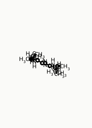 C[C@@H]1[C@@H]2C[C@@H](c3nc4ccc(-c5cnc6cc(-c7ccc8nc([C@@H]9C%10[C@@H]%11[C@H](N9C(=O)OC(C)(C)C)[C@]%10%11C)[nH]c8c7)ccc6n5)cc4[nH]3)N(C(=O)OC(C)(C)C)[C@H]12